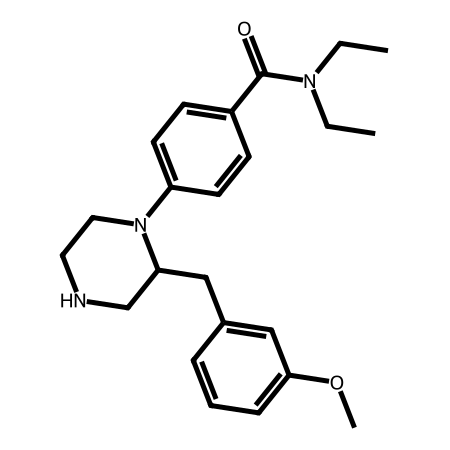 CCN(CC)C(=O)c1ccc(N2CCNCC2Cc2cccc(OC)c2)cc1